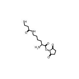 NC(CCCCNC(=O)CCS)C(=O)ON1C(=O)CCC1=O